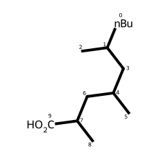 CCCCC(C)CC(C)CC(C)C(=O)O